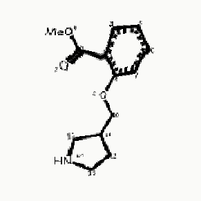 COC(=O)c1ccccc1OCC1CCNC1